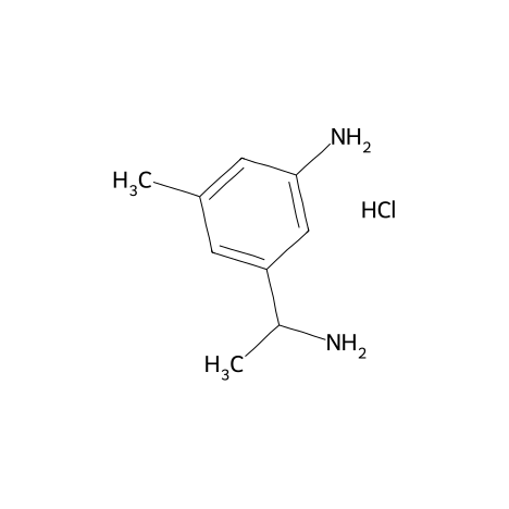 Cc1cc(N)cc(C(C)N)c1.Cl